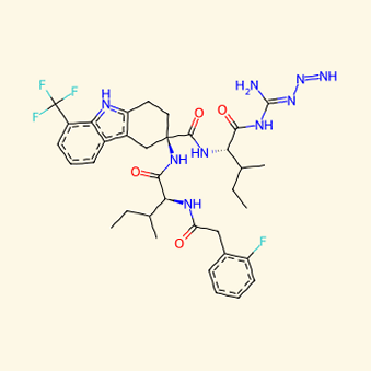 CCC(C)[C@H](NC(=O)Cc1ccccc1F)C(=O)N[C@]1(C(=O)N[C@H](C(=O)N/C(N)=N/N=N)C(C)CC)CCc2[nH]c3c(C(F)(F)F)cccc3c2C1